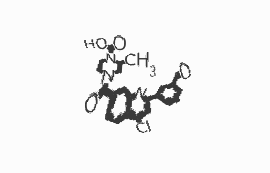 CC1CN(C(=O)c2ccc3c(Cl)cc(-c4cccc(C=O)c4)nc3c2)CCN1C(=O)O